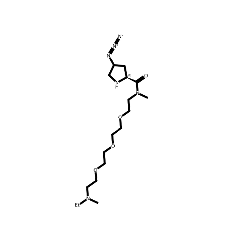 CCN(C)CCOCCOCCOCCN(C)C(=O)[C@@H]1CC(N=[N+]=[N-])CN1